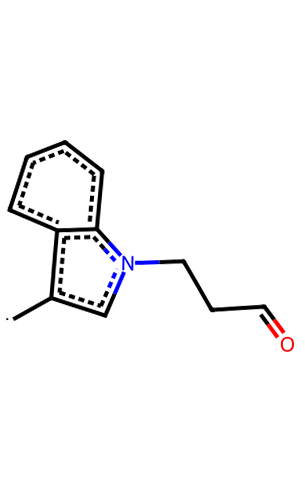 [CH2]c1cn(CCC=O)c2ccccc12